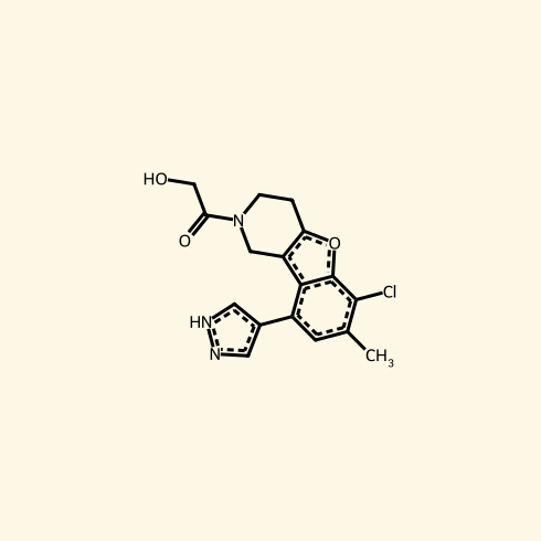 Cc1cc(-c2cn[nH]c2)c2c3c(oc2c1Cl)CCN(C(=O)CO)C3